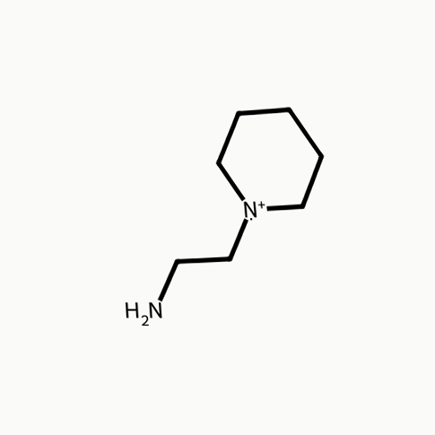 NCC[N+]1CCCCC1